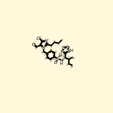 CCCCc1nc(Cl)c(C=O)n1Cc1ccc(S(=O)(=O)N[C@H](c2nnn[nH]2)C(C)CC)cc1